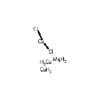 [CaH2].[CaH2].[Cl][Ca][Cl].[MgH2]